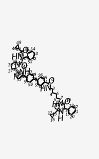 O=C(NCCCCCNC(=O)[C@H](NC(=O)C1CC1)c1ccccc1)c1ccc(-c2ccc(-c3cnc([C@@H]4CCCN4C(=O)[C@H](NC(=O)C4CC4)c4ccccc4)[nH]3)cc2)cc1